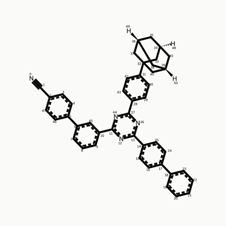 N#Cc1ccc(-c2cccc(-c3nc(-c4ccc(-c5ccccc5)cc4)nc(-c4ccc(C56C[C@H]7C[C@@H](C5)C[C@@H](C6)C7)cc4)n3)c2)cc1